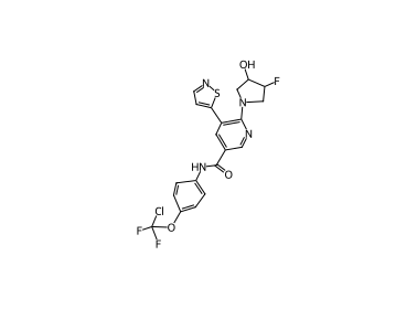 O=C(Nc1ccc(OC(F)(F)Cl)cc1)c1cnc(N2CC(O)C(F)C2)c(-c2ccns2)c1